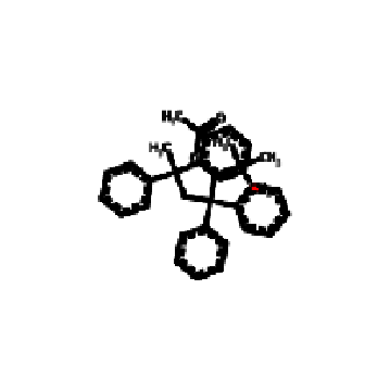 CC(=O)OC(C(C)(C)C)C(CC(C)(c1ccccc1)c1ccccc1)(c1ccccc1)c1ccccc1